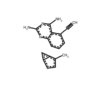 C#Cc1cccc2nc(N)nc(N)c12.Cc1ccc2cc1-2